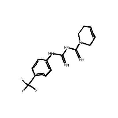 N=C(NC(=N)N1CC=CCC1)Nc1ccc(C(F)(F)F)cc1